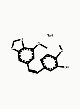 COc1ccc(/C=C\c2cc(OC)c3c(c2)OCO3)cc1O.[NaH]